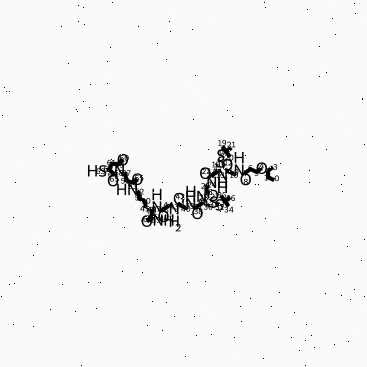 CCC(C)OCCC(=O)NCC(=O)N[C@@H](CSSC(C)(C)C)C(=O)NCC(=O)N[C@@H](CSSC(C)(C)C)C(=O)NCC(=O)NCC(=O)N[C@@H](CCCCNC(=O)CCN1C(=O)CC(S)C1=O)C(N)=O